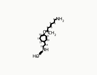 C=C(CC=CCCN)OC1=CCCC(CCNC#CO)C=C1